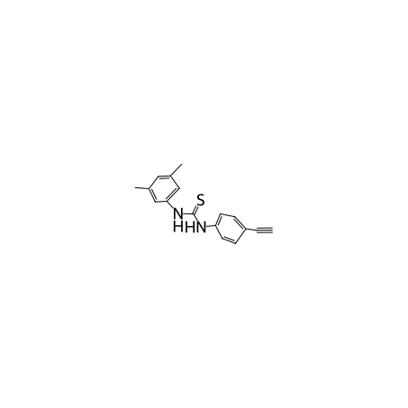 C#Cc1ccc(NC(=S)Nc2cc(C)cc(C)c2)cc1